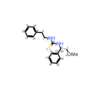 COC[C@@H](NC(=S)NCCc1ccccc1)c1ccccc1